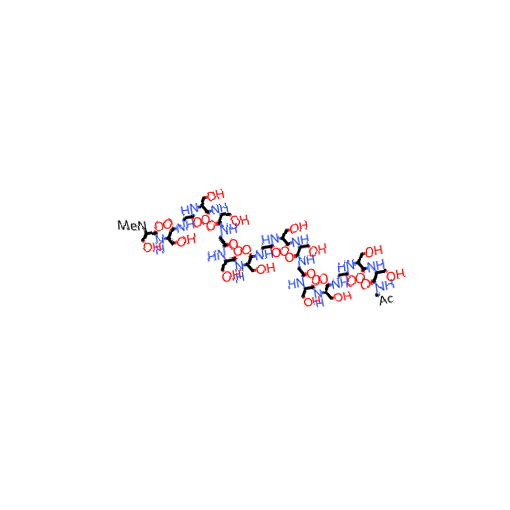 CNC(CO)C(=O)NC(CO)C(=O)NCC(=O)NC(CO)C(=O)NC(CO)C(=O)NCC(=O)NC(CO)C(=O)NC(CO)C(=O)NCC(=O)NC(CO)C(=O)NC(CO)C(=O)NCC(=O)NC(CO)C(=O)NC(CO)C(=O)NCC(=O)NC(CO)C(=O)NC(CO)C(=O)NCC(C)=O